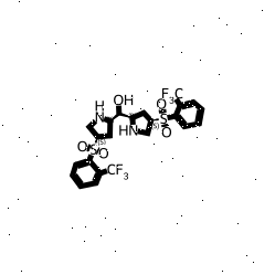 O=S(=O)(c1ccccc1C(F)(F)F)[C@@H]1CN[C@@H](C(O)[C@H]2C[C@H](S(=O)(=O)c3ccccc3C(F)(F)F)CN2)C1